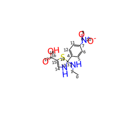 CCNC1(c2ccc([N+](=O)[O-])cc2)NC=C(C(=O)O)S1